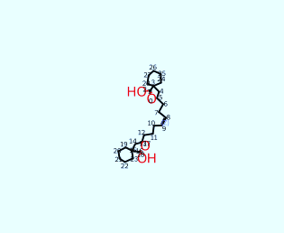 O=C(O)C1(CCCC/C=C\CCCCCC2(C(=O)O)CCCCC2)CCCCC1